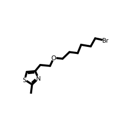 Cc1nc(CCOCCCCCCBr)cs1